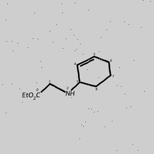 CCOC(=O)CNC1C=CCCC1